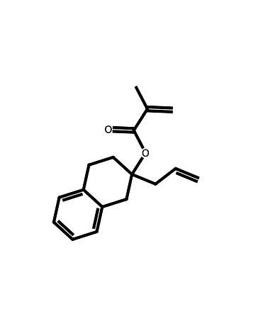 C=CCC1(OC(=O)C(=C)C)CCc2ccccc2C1